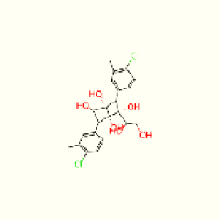 Cc1cc(C2C(O)[C@@]3(O)C(c4ccc(Cl)c(C)c4)[C@@](O)([C@H](O)CO)[C@@]23O)ccc1Cl